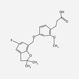 COc1cc(OCc2cc(F)cc3c2OC(C)(C)C3)ccc1CCC(=O)O